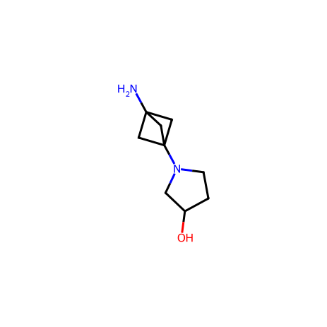 NC12CC(N3CCC(O)C3)(C1)C2